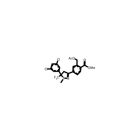 COC(=O)c1ccc(C2=NN(C)C(c3cc(Cl)cc(Cl)c3)(C(F)(F)F)C2)cc1COC(C)=O